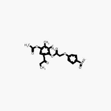 CCC(=O)c1cc(OC(C)=O)c(C)c(C)c1OC(=O)COc1ccc([N+](=O)[O-])cc1